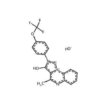 Cc1nc2ccccc2[n+]2nn(-c3ccc(OC(F)(F)F)cc3)c(O)c12.[OH-]